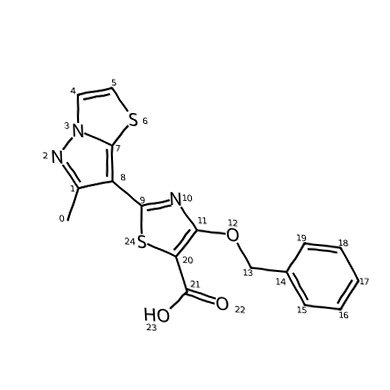 Cc1nn2ccsc2c1-c1nc(OCc2ccccc2)c(C(=O)O)s1